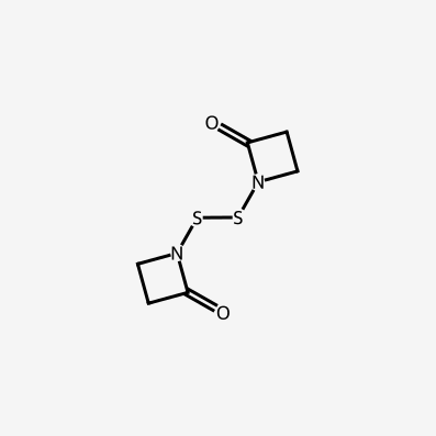 O=C1CCN1SSN1CCC1=O